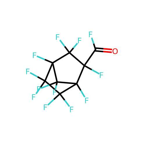 O=C(F)C1(F)C(F)(F)C2(F)C(F)(F)C(F)(F)C1(F)C2(F)F